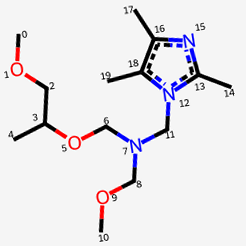 COCC(C)OCN(COC)Cn1c(C)nc(C)c1C